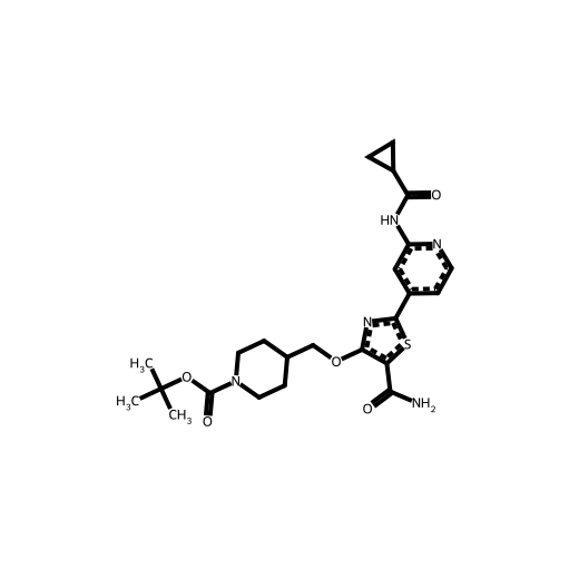 CC(C)(C)OC(=O)N1CCC(COc2nc(-c3ccnc(NC(=O)C4CC4)c3)sc2C(N)=O)CC1